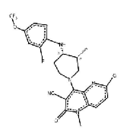 C[C@@H]1CN(c2c(C#N)c(=O)n(C)c3ccc(Cl)nc23)CC[C@@H]1Nc1ccc(OC(F)(F)F)cc1F